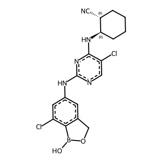 N#C[C@@H]1CCCC[C@H]1Nc1nc(Nc2cc(Cl)c3c(c2)COB3O)ncc1Cl